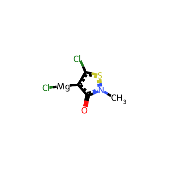 Cn1sc(Cl)[c]([Mg][Cl])c1=O